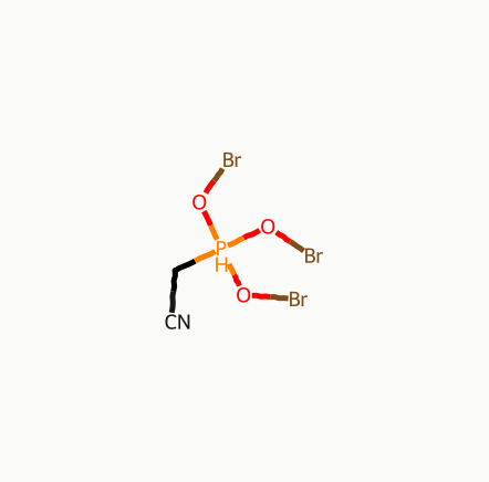 N#CC[PH](OBr)(OBr)OBr